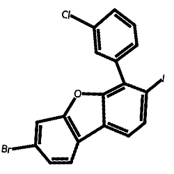 Clc1cccc(-c2c(I)ccc3c2oc2cc(Br)ccc23)c1